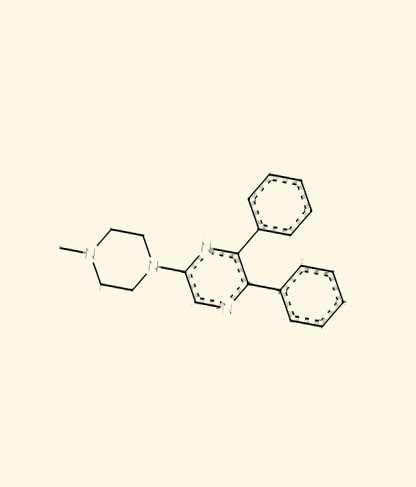 CN1CCN(c2cnc(-c3ccccc3)c(-c3ccccc3)n2)CC1